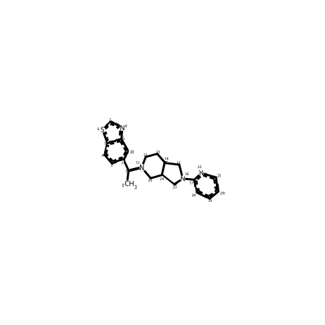 CC(c1ccc2scnc2c1)N1CCC2CN(c3ccccn3)CC2C1